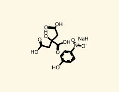 O=C(O)CC(O)(CC(=O)O)C(=O)O.O=[N+]([O-])c1ccc(O)cc1.[NaH]